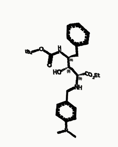 CCOC(=O)[C@H](NCc1ccc(N(C)C)cc1)[C@H](O)[C@H](Cc1ccccc1)NC(=O)OC(C)(C)C